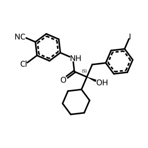 N#Cc1ccc(NC(=O)[C@](O)(Cc2cccc(I)c2)C2CCCCC2)cc1Cl